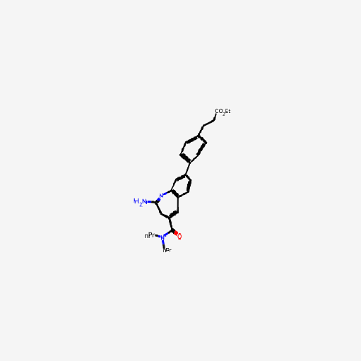 CCCN(CCC)C(=O)C1=Cc2ccc(-c3ccc(CCC(=O)OCC)cc3)cc2N=C(N)C1